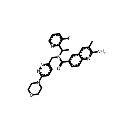 Cc1cc2cc(C(=O)N(Cc3ccc(N4CCOCC4)nn3)C(C)c3ncccc3F)ccc2nc1N